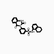 O=c1[nH]c2ccccc2c(=O)n1-c1cccc(S(=O)(=O)Nc2cccc3c2CCCC3)c1